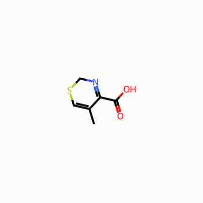 CC1=CSCN=C1C(=O)O